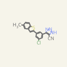 Cc1ccc2sc(-c3cc(Cl)cc(-c4nn[nH]c4C#N)c3)cc2c1